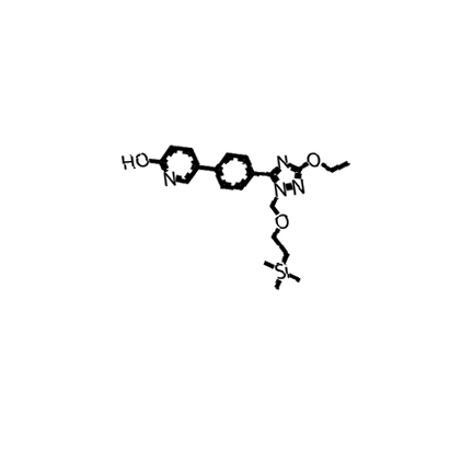 CCOc1nc(-c2ccc(-c3ccc(O)nc3)cc2)n(COCC[Si](C)(C)C)n1